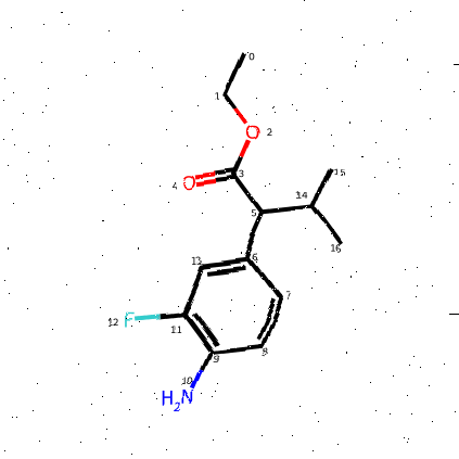 CCOC(=O)C(c1ccc(N)c(F)c1)C(C)C